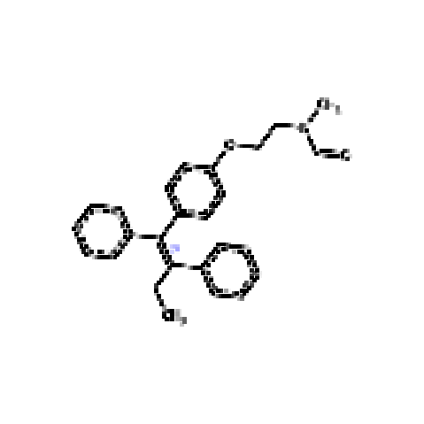 CC/C(=C(\c1ccccc1)c1ccc(OCCN(C)C=O)cc1)c1ccccc1